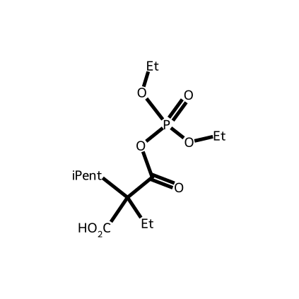 CCCC(C)C(CC)(C(=O)O)C(=O)OP(=O)(OCC)OCC